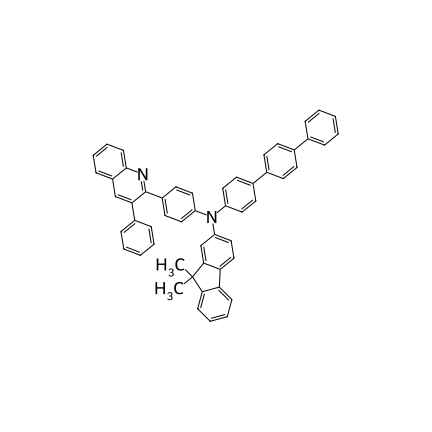 CC1(C)c2ccccc2-c2ccc(N(c3ccc(-c4ccc(-c5ccccc5)cc4)cc3)c3ccc(-c4nc5ccccc5cc4-c4ccccc4)cc3)cc21